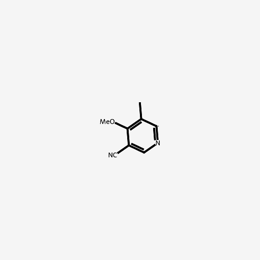 COc1c(C)[c]ncc1C#N